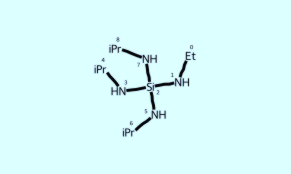 CCN[Si](NC(C)C)(NC(C)C)NC(C)C